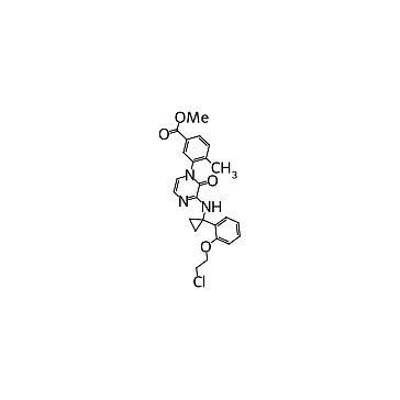 COC(=O)c1ccc(C)c(-n2ccnc(NC3(c4ccccc4OCCCl)CC3)c2=O)c1